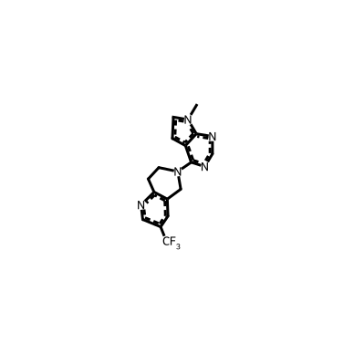 Cn1ccc2c(N3CCc4ncc(C(F)(F)F)cc4C3)ncnc21